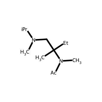 CCC(C)(CN(C)C(C)C)N(C)C(C)=O